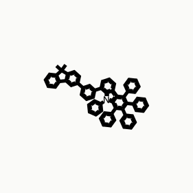 CC1(C)c2ccccc2-c2cc(-c3cccc(-c4cccc5c6c(-c7ccccc7)c(-c7ccccc7)c(-c7ccccc7)c(-c7ccccc7)c6n(-c6ccccc6)c45)c3)ccc21